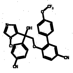 Cn1cncc1C(O)(COc1ccc(C#N)cc1-c1ccc(OC(F)(F)F)cc1)c1ccc(C#N)cc1